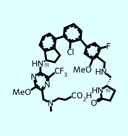 COc1cc(-c2cccc(-c3cccc4c3CC[C@@H]4Nc3nc(OC)c(CN(C)CCC(=O)O)nc3C(F)(F)F)c2Cl)cc(F)c1CNC[C@@H]1CCC(=O)N1